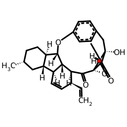 C=C[C@H]1C=C[C@H]2[C@@H]3C[C@H](C)CC[C@H]3[C@@H]3Oc4ccc(cc4)C[C@]4(O)NC(=O)[C@]5(O[C@H]54)C(=O)[C@@H]1[C@H]23